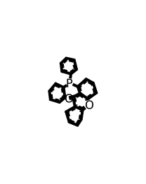 O=c1c2ccccc2oc2cccc(P(c3ccccc3)c3ccccc3)c12